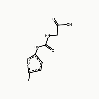 O=C(O)CNC(=O)Nc1ccc(F)cc1